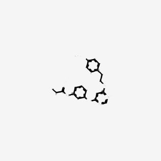 COc1ccc(CCNc2cc(Oc3cccc(NC(=O)CCl)c3)ncn2)cc1